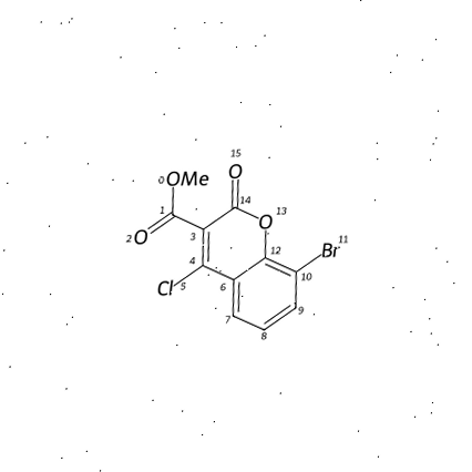 COC(=O)c1c(Cl)c2cccc(Br)c2oc1=O